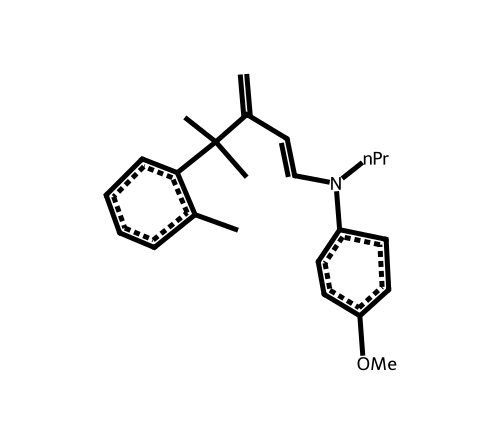 C=C(C=CN(CCC)c1ccc(OC)cc1)C(C)(C)c1ccccc1C